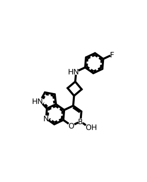 OB1C=C(C2CC(Nc3ccc(F)cc3)C2)c2c(cnc3[nH]ccc23)O1